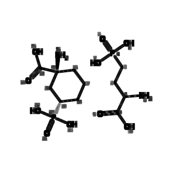 NC(CCP(=O)(O)O)C(=O)O.N[C@@]1(C(=O)O)CCC[C@H](P(=O)(O)O)C1